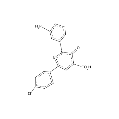 O=C(O)c1cc(-c2ccc(Cl)cc2)nn(-c2cccc(P)c2)c1=O